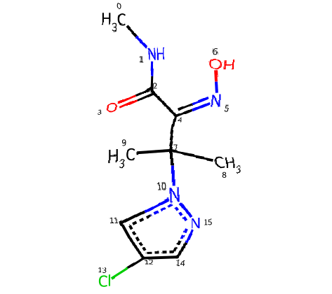 CNC(=O)C(=NO)C(C)(C)n1cc(Cl)cn1